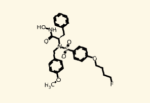 COc1ccc(CN([C@H](Cc2ccccc2)C(=O)NO)S(=O)(=O)c2ccc(OCCCCF)cc2)cc1